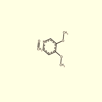 C=O.COc1ccncc1OC